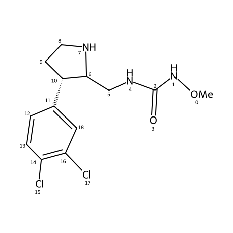 CONC(=O)NCC1NCC[C@H]1c1ccc(Cl)c(Cl)c1